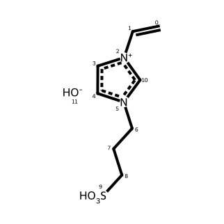 C=C[n+]1ccn(CCCS(=O)(=O)O)c1.[OH-]